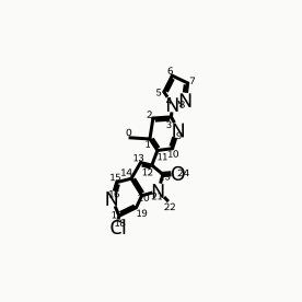 Cc1cc(-n2cccn2)ncc1-c1cc2cnc(Cl)cc2n(C)c1=O